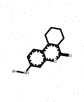 CC(C)Nc1ccc2c3c(c(=O)oc2c1)CCCC3